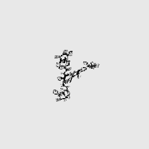 CC(COC(=O)C(C)(C)Br)C(=O)NC(CCC(=O)ON1C(=O)CCC1=O)C(=O)NCCC(=O)ON1C(=O)CCC1=O